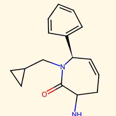 NC1CC=C[C@H](c2ccccc2)N(CC2CC2)C1=O